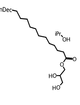 CC(C)O.CCCCCCCCCCCCCCCCCCCCCC(=O)OCC(O)CO